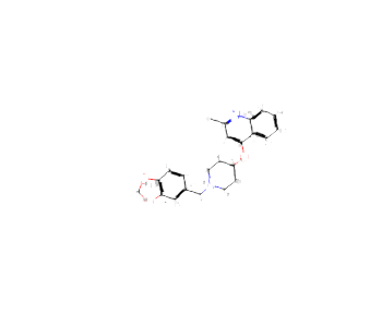 Cc1cc(OC2CCN(Cc3ccc4c(c3)OCO4)CC2)c2ccccc2n1